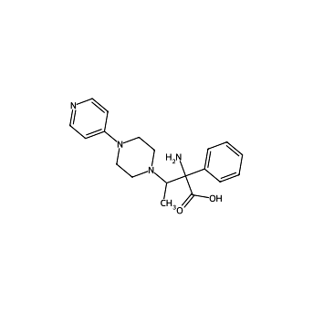 CC(N1CCN(c2ccncc2)CC1)C(N)(C(=O)O)c1ccccc1